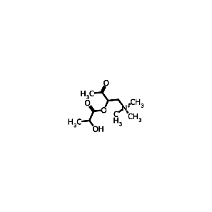 CC(=O)C(C[N+](C)(C)C)OC(=O)C(C)O